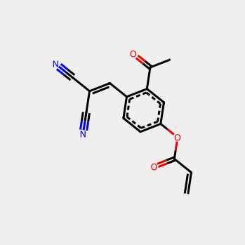 C=CC(=O)Oc1ccc(C=C(C#N)C#N)c(C(C)=O)c1